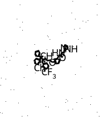 CC(c1ccccc1)(c1ccccc1)N(CCCOc1cccc(CC(=O)NCc2ncc[nH]2)c1)Cc1cccc(C(F)(F)F)c1Cl